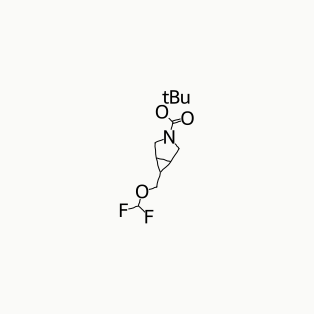 CC(C)(C)OC(=O)N1CC2C(COC(F)F)C2C1